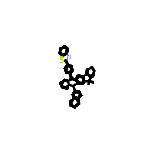 CC1(C)c2ccccc2-c2cc3c(-c4ccc(-c5nc6ccccc6s5)cc4)c4ccccc4c(-c4ccc5ccccc5c4)c3cc21